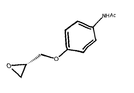 CC(=O)Nc1ccc(OC[C@@H]2CO2)cc1